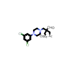 COCC(C=O)(CC(C)=O)CN1CCN(c2cc(Cl)cc(Cl)c2)CC1